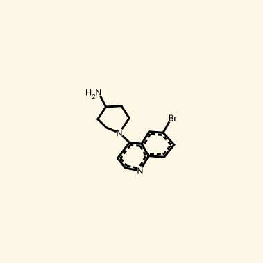 NC1CCN(c2ccnc3ccc(Br)cc23)CC1